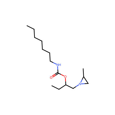 CCCCCCCNC(=O)OC(CC)CN1CC1C